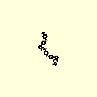 CC1CCN(Cc2cccc(-c3ccc(O[C@H]4CC[C@@H](C(C)(C)Cc5c(C=O)cccc5-c5ccc(OC6CCC(C(C)(C)C)CC6)cc5)CC4)cc3)c2F)C1